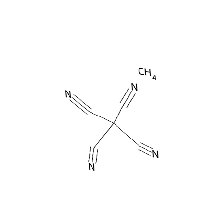 C.N#CC(C#N)(C#N)C#N